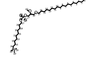 CCCCCCCCCCCCCCCCCCOCC(COP(=O)([O-])OCCCCCCCCCC[N+](C)(C)C)OC